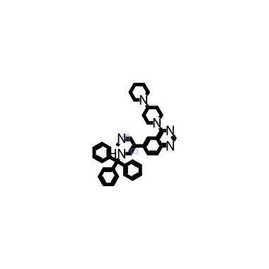 C/N=C\C(=C/NC(c1ccccc1)(c1ccccc1)c1ccccc1)c1ccc2ncnc(N3CCC(N4CCCCC4)CC3)c2c1